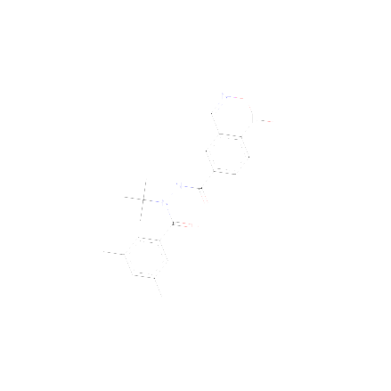 Cc1cc(C)cc(C(=O)N(NC(=O)c2ccc3c(c2)C=NOB3O)C(C)(C)C)c1